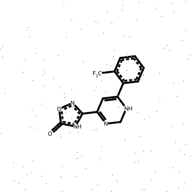 O=c1[nH]c(C2=NCNC(c3ccccc3C(F)(F)F)=C2)no1